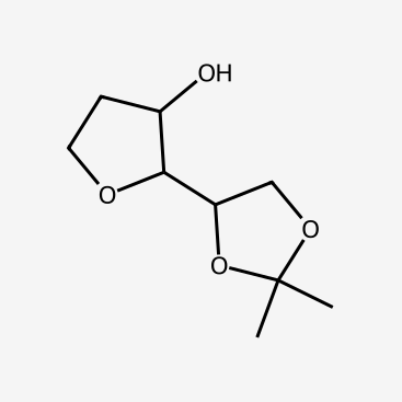 CC1(C)OCC(C2OCCC2O)O1